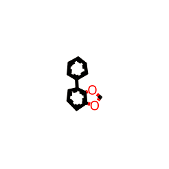 c1ccc(-c2cccc3c2OCO3)cc1